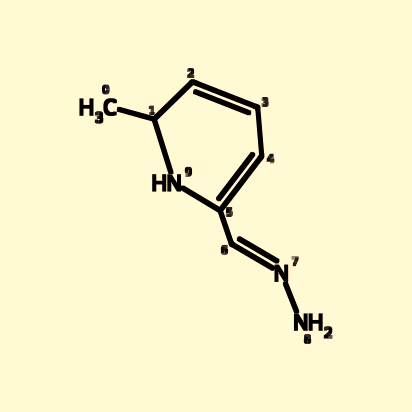 CC1C=CC=C(/C=N/N)N1